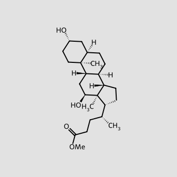 COC(=O)CC[C@@H](C)[C@H]1CC[C@H]2[C@@H]3CC[C@@H]4C[C@@H](O)CC[C@]4(C)[C@H]3C[C@H](O)[C@]12C